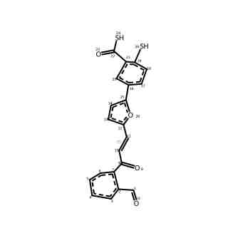 O=Cc1ccccc1C(=O)/C=C/c1ccc(-c2ccc(S)c(C(=O)S)c2)o1